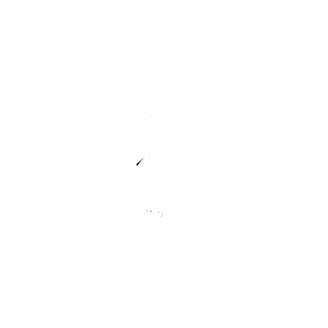 CNCC1[C@@H]2COC[C@@H]12